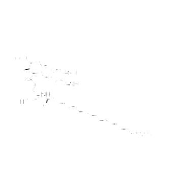 NCCOCCOC([C]=O)C(=O)C(OCCOCCN)C(=O)CC[C@H](NC(=O)CCCCCCCCCCCCCCCCC(=O)O)C(=O)O